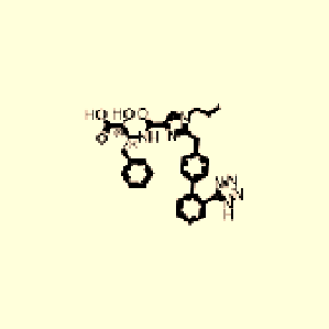 CCCn1cc(C(=O)N[C@H](Cc2ccccc2)[C@@H](O)C(=O)O)nc1Cc1ccc(-c2ccccc2-c2nnn[nH]2)cc1